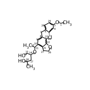 CCOc1ccc(Cc2cc(C(C)OC(CO)CC(C)O)c3c(c2Cl)OCC3)cc1